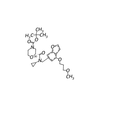 COCCCOc1cc(CN(C(=O)[C@H]2CN(C(=O)OC(C)(C)C)CCO2)C2CC2)cc2occc12